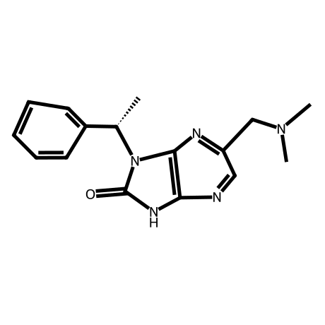 C[C@@H](c1ccccc1)n1c(=O)[nH]c2ncc(CN(C)C)nc21